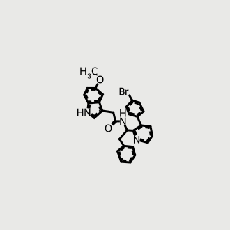 COc1ccc2[nH]cc(CC(=O)NC(Cc3ccccc3)c3ncccc3-c3ccc(Br)cc3)c2c1